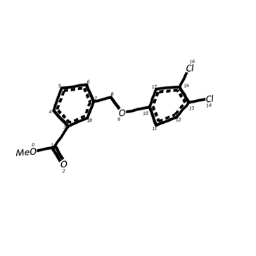 COC(=O)c1cccc(COc2ccc(Cl)c(Cl)c2)c1